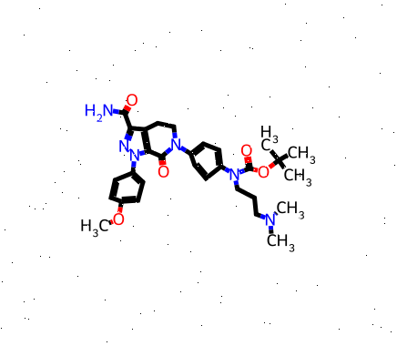 COc1ccc(-n2nc(C(N)=O)c3c2C(=O)N(c2ccc(N(CCCN(C)C)C(=O)OC(C)(C)C)cc2)CC3)cc1